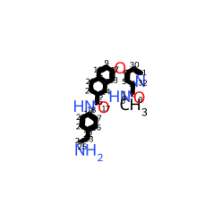 CNC(=O)c1cc(Oc2ccc3c(c2)CC(C(=O)Nc2ccc(CCN)cc2)CC3)ccn1